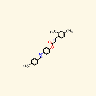 CC1=CC=C(/C=C/C(=O)Oc2ccc(/N=C/c3ccc(C)cc3)cc2)C(C)C1